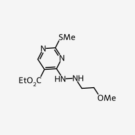 CCOC(=O)c1cnc(SC)nc1NNCCOC